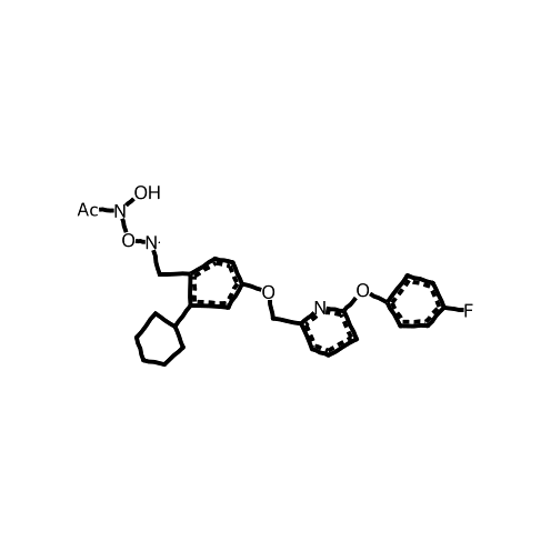 CC(=O)N(O)O[N]Cc1ccc(OCc2cccc(Oc3ccc(F)cc3)n2)cc1C1CCCCC1